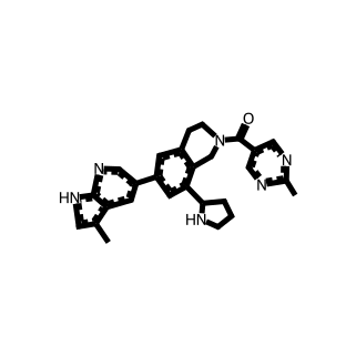 Cc1ncc(C(=O)N2CCc3cc(-c4cnc5[nH]cc(C)c5c4)cc(C4CCCN4)c3C2)cn1